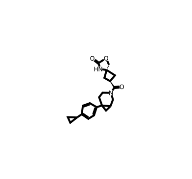 O=C1N[C@]2(CO1)C[C@H](C(=O)N1CCC3(c4ccc(C5CC5)cc4)CC3C1)C2